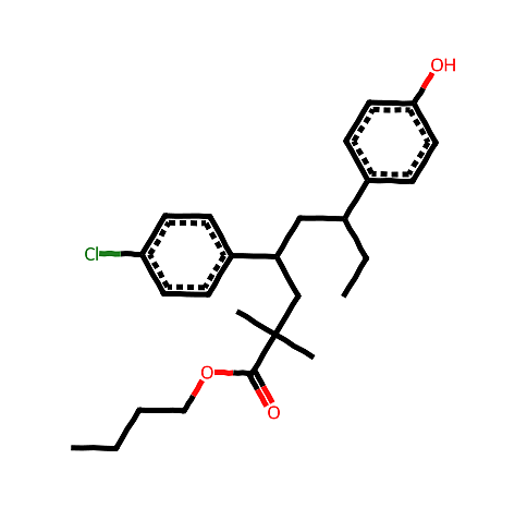 CCCCOC(=O)C(C)(C)CC(CC(CC)c1ccc(O)cc1)c1ccc(Cl)cc1